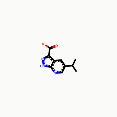 CC(C)c1cnc2[nH]nc(C(=O)O)c2c1